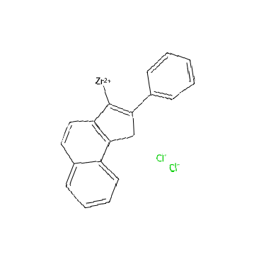 [Cl-].[Cl-].[Zr+2][C]1=C(c2ccccc2)Cc2c1ccc1ccccc21